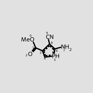 COC(=O)c1c[pH]c(N)c1C#N